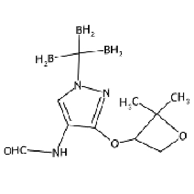 BC(B)(B)n1cc(NC=O)c(OC2COC2(C)C)n1